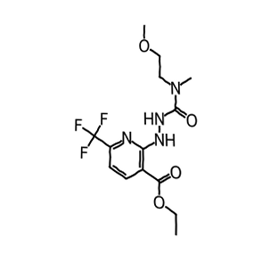 CCOC(=O)c1ccc(C(F)(F)F)nc1NNC(=O)N(C)CCOC